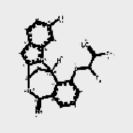 C=C(C)C(F)Oc1cccc2c1[C@@H]1CC(NC2=N)c2cc3ccc(Cl)cc3n21